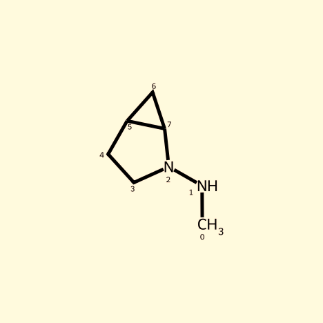 CNN1CCC2CC21